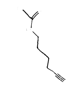 C#CCCCCNC(=O)C(C)C